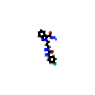 NC(=O)c1c2ccccc2nn1CCCNC(=O)Nc1ccc(F)cc1